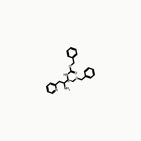 NC(Cc1ccccn1)[C@H](COCc1ccccc1)NC(=O)OCc1ccccc1